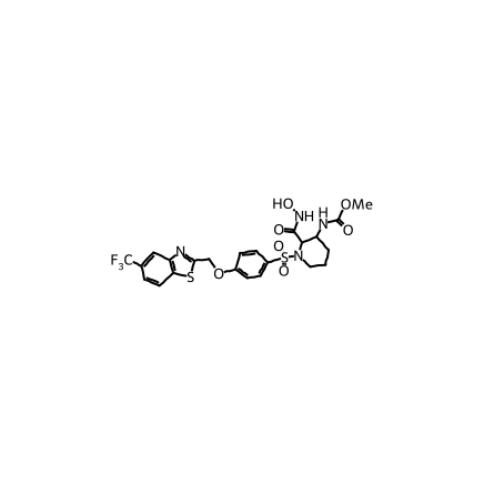 COC(=O)NC1CCCN(S(=O)(=O)c2ccc(OCc3nc4cc(C(F)(F)F)ccc4s3)cc2)C1C(=O)NO